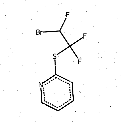 FC(Br)C(F)(F)Sc1ccccn1